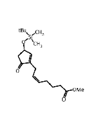 COC(=O)CCC/C=C\CC1=C[C@H](O[Si](C)(C)C(C)(C)C)CC1=O